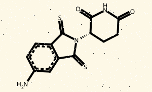 Nc1ccc2c(c1)C(=S)N([C@H]1CCC(=O)NC1=O)C2=S